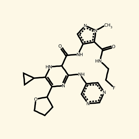 Cn1ncc(NC(=O)C2NC(C3CC3)=C(C3CCCO3)N=C2Nc2cncnc2)c1C(=O)NCCF